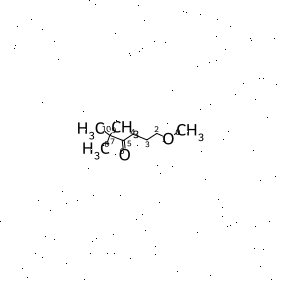 COCCCC(=O)C(C)(C)C